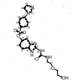 O=C(NCCOCCO)Nc1nc2cc(OS(=O)(=O)c3ccc(-n4ccnc4)cc3)ccc2[nH]1